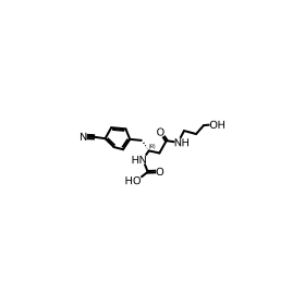 N#Cc1ccc(C[C@H](CC(=O)NCCCO)NC(=O)O)cc1